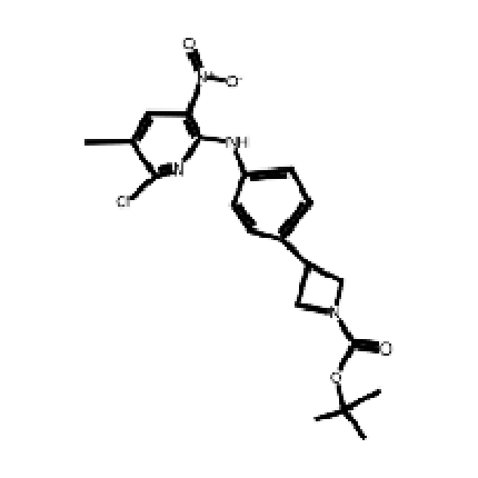 Cc1cc([N+](=O)[O-])c(Nc2ccc(C3CN(C(=O)OC(C)(C)C)C3)cc2)nc1Cl